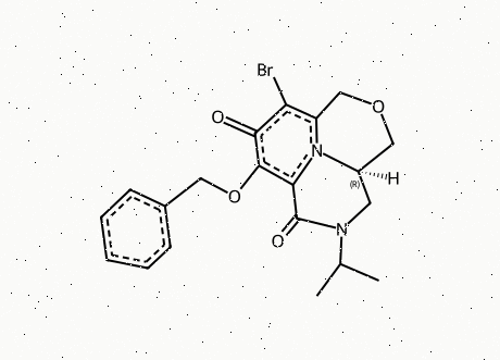 CC(C)N1C[C@@H]2COCc3c(Br)c(=O)c(OCc4ccccc4)c(n32)C1=O